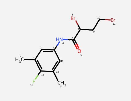 Cc1cc(NC(=O)C(Br)CCBr)cc(C)c1F